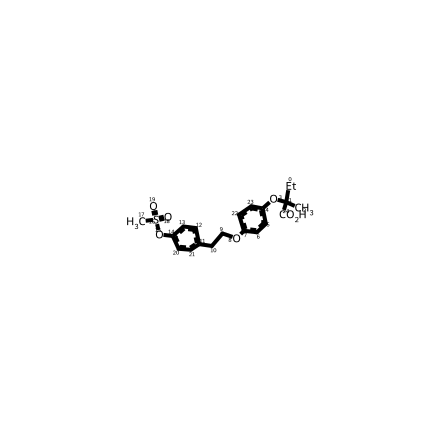 CCC(C)(Oc1ccc(OCCc2ccc(OS(C)(=O)=O)cc2)cc1)C(=O)O